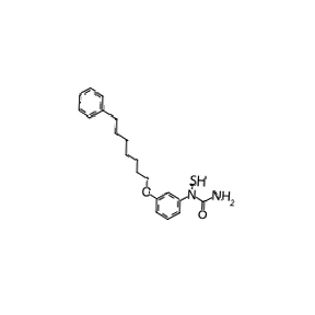 NC(=O)N(S)c1cccc(OCCCCCCCc2ccccc2)c1